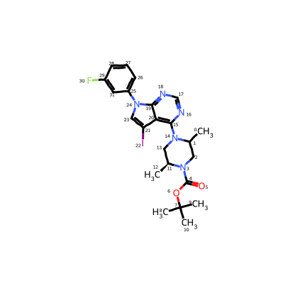 CC1CN(C(=O)OC(C)(C)C)[C@@H](C)CN1c1ncnc2c1c(I)cn2-c1cccc(F)c1